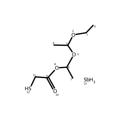 CCOC(C)OC(C)OC(=O)CS.[SbH3]